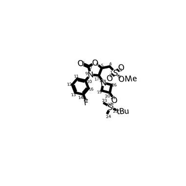 COS(=O)(=O)CC1OC(=O)N(c2cccc(F)c2)C1N1CC(O[Si](C)(C)C(C)(C)C)C1